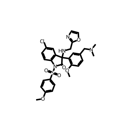 COc1ccc(S(=O)(=O)N2C(=O)C(NCc3ncco3)(c3cc(CN(C)C)ccc3OC)c3cc(Cl)ccc32)cc1